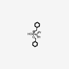 CC(C)N(C(C)C)[PH](O)(OCc1ccccc1)OCc1ccccc1